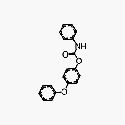 O=C(Nc1ccccc1)Oc1ccc(Oc2ccccc2)cc1